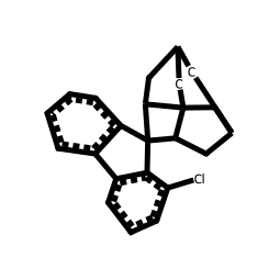 Clc1cccc2c1C1(c3ccccc3-2)C2CC3CC4CC1C2(C3)C4